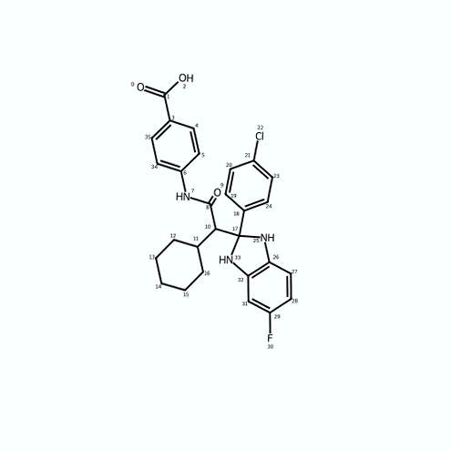 O=C(O)c1ccc(NC(=O)C(C2CCCCC2)C2(c3ccc(Cl)cc3)Nc3ccc(F)cc3N2)cc1